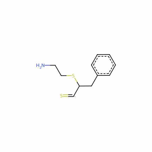 NCCSC([C]=S)Cc1ccccc1